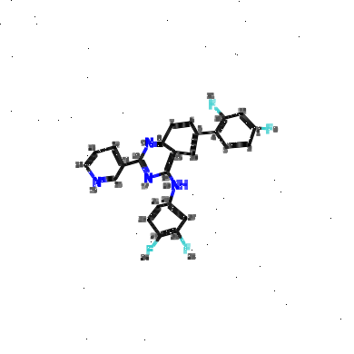 Fc1ccc(-c2ccc3nc(-c4cccnc4)nc(Nc4ccc(F)c(F)c4)c3c2)c(F)c1